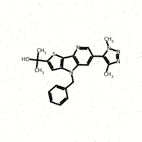 Cc1nnn(C)c1-c1cnc2c3sc(C(C)(C)O)cc3n(Cc3ccccc3)c2c1